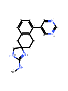 N#CNC1=NC2(CCc3c(cccc3-c3cncnc3)C2)CN1